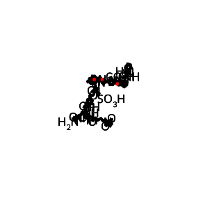 CC(C)C(NC(=O)CCCCCN1C(=O)C=CC1=O)C(=O)N[C@@H](CCCNC(N)=O)C(=O)Nc1ccc(COC(=O)N(CCOC23CC4(C)CC(C)(CC(Cn5cc(-c6ccc(-c7cc8cccc(C(=O)Nc9nc%10ccccc%10s9)c8[nH]7)nc6C(=O)O)cn5)(C4)C2)C3)CCS(=O)(=O)O)cc1